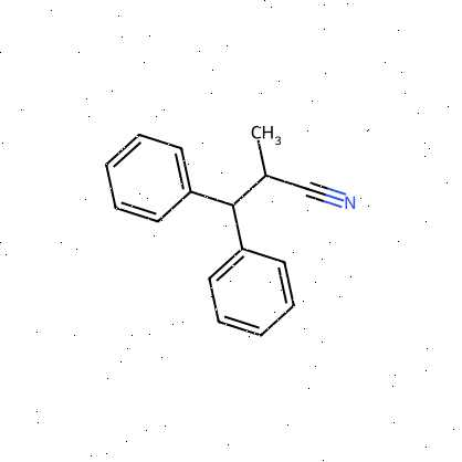 CC(C#N)C(c1ccccc1)c1ccccc1